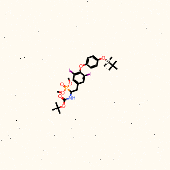 COP(=O)(OC)C(Cc1cc(I)c(Oc2ccc(O[Si](C)(C)C(C)(C)C)cc2)c(I)c1)NC(=O)OC(C)(C)C